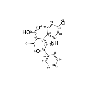 CCC(C(=O)O)c1c(C(=O)c2ccccc2)[nH]c2cc(Cl)ccc12